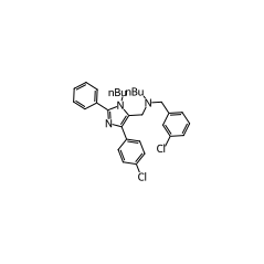 CCCCN(Cc1cccc(Cl)c1)Cc1c(-c2ccc(Cl)cc2)nc(-c2ccccc2)n1CCCC